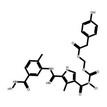 CCCNC(=O)c1ccc(C)c(NC(=N)c2[nH]cc(C(=O)N(CC)C(=O)OCOC(=O)Cc3ccc(O)cc3)c2C)c1